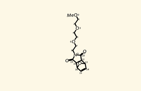 COCCOCCOCCN1C(=O)C2C3C=CC(O3)C2C1=O